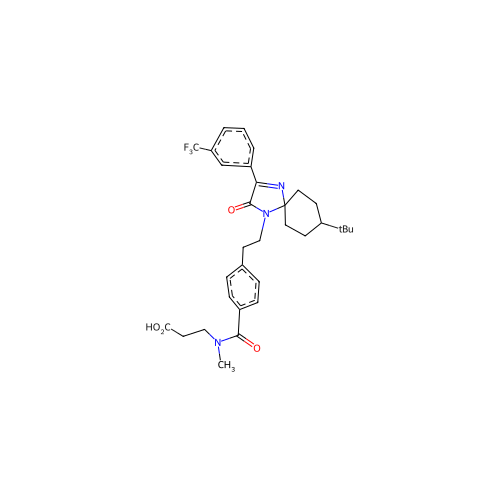 CN(CCC(=O)O)C(=O)c1ccc(CCN2C(=O)C(c3cccc(C(F)(F)F)c3)=NC23CCC(C(C)(C)C)CC3)cc1